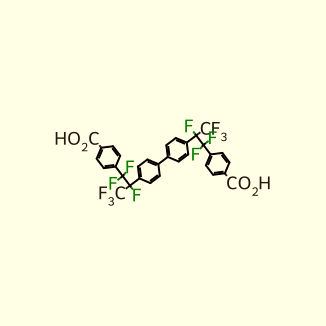 O=C(O)c1ccc(C(F)(F)C(F)(c2ccc(-c3ccc(C(F)(C(F)(F)F)C(F)(F)c4ccc(C(=O)O)cc4)cc3)cc2)C(F)(F)F)cc1